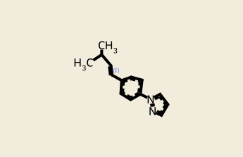 CC(C)/C=C/c1ccc(-n2cccn2)cc1